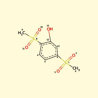 CS(=O)(=O)c1ccc(S(C)(=O)=O)c(O)c1